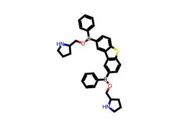 c1ccc(B(OCC2CCCN2)c2ccc3sc4ccc(B(OCC5CCCN5)c5ccccc5)cc4c3c2)cc1